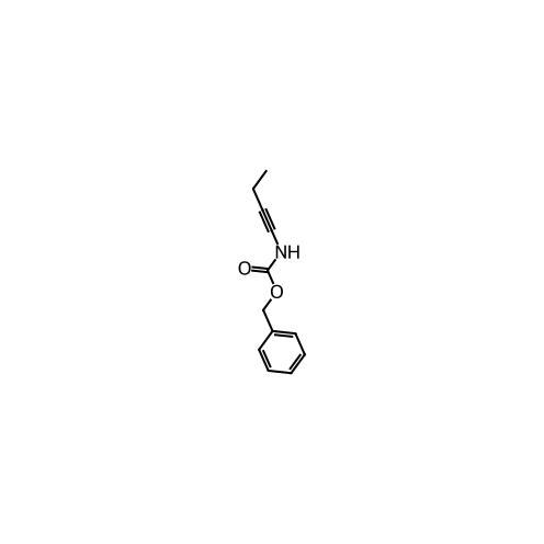 CCC#CNC(=O)OCc1ccccc1